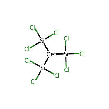 Cl[Si](Cl)(Cl)[Ge-]([Si](Cl)(Cl)Cl)[Si](Cl)(Cl)Cl